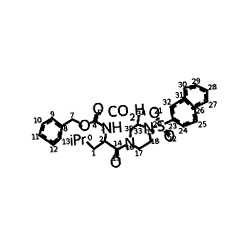 CC(C)CC(NC(=O)OCc1ccccc1)C(=O)N1CCN(S(=O)(=O)c2ccc3ccccc3c2)C(C(=O)O)C1